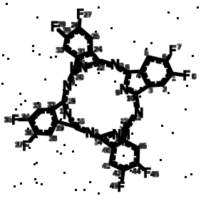 Fc1cc2c(cc1F)-c1nc-2nc2[nH]c(nc3nc(nc4[nH]c(n1)c1cc(F)c(F)cc41)-c1cc(F)c(F)cc1-3)c1cc(F)c(F)cc21